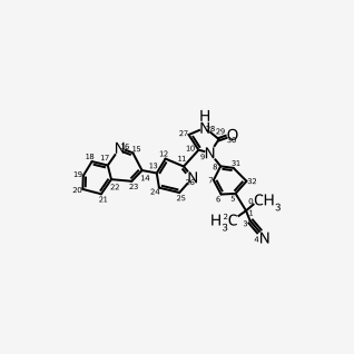 CC(C)(C#N)c1ccc(-n2c(-c3cc(-c4cnc5ccccc5c4)ccn3)c[nH]c2=O)cc1